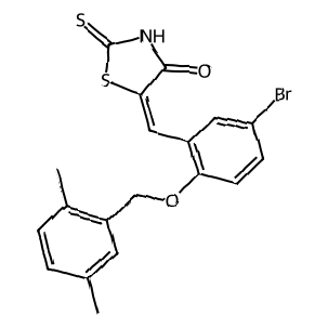 Cc1ccc(C)c(COc2ccc(Br)cc2C=C2SC(=S)NC2=O)c1